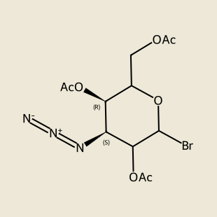 CC(=O)OCC1OC(Br)C(OC(C)=O)[C@@H](N=[N+]=[N-])[C@H]1OC(C)=O